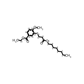 CCCCCCCCOC(=O)CCSc1cc(C(=O)OCC)ccc1OC